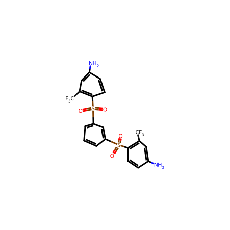 Nc1ccc(S(=O)(=O)c2cccc(S(=O)(=O)c3ccc(N)cc3C(F)(F)F)c2)c(C(F)(F)F)c1